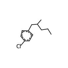 CCCC(C)Cc1ccc(Cl)cc1